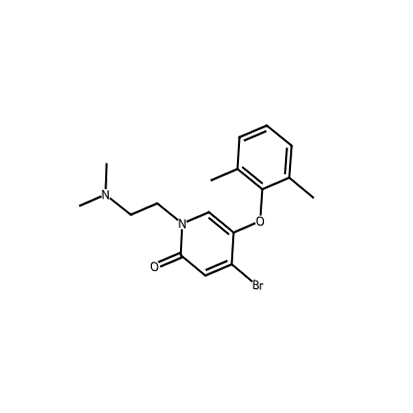 Cc1cccc(C)c1Oc1cn(CCN(C)C)c(=O)cc1Br